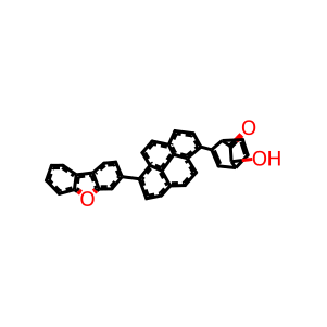 O=C1C2C=CC(C=C2c2ccc3ccc4c(-c5ccc6c(c5)oc5ccccc56)ccc5ccc2c3c54)C1O